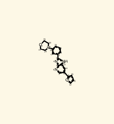 c1cc(-c2nc3ncc(-c4ccco4)cc3[nH]2)cc(N2CCOCC2)c1